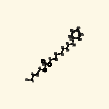 CCCCCOC(=O)OCCCCCCCCc1ccccc1